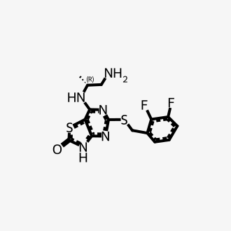 C[C@H](CN)Nc1nc(SCc2cccc(F)c2F)nc2[nH]c(=O)sc12